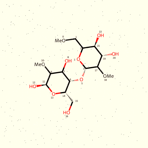 COCC1O[C@@H](O[C@H]2C(O)C(OC)[C@H](O)O[C@H]2CO)C(OC)[C@@H](O)[C@@H]1O